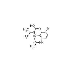 CC(C)N(C(=O)O)[C@@H]1C[C@H](C)Nc2ccc(Br)cc21